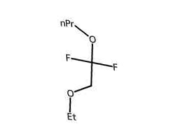 [CH2]COCC(F)(F)OCCC